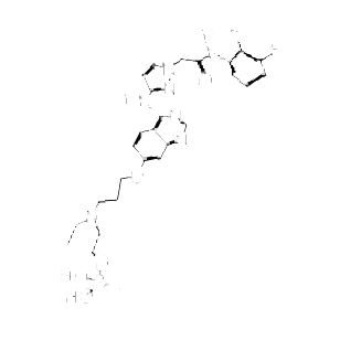 CCN(CCCOc1ccc2c(Nc3ccn(CC(=O)Nc4cccc(F)c4F)n3)ncnc2c1)CCOP(=O)(O)O